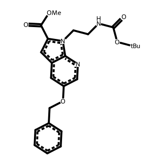 COC(=O)c1cc2cc(OCc3ccccc3)cnc2n1CCNC(=O)OC(C)(C)C